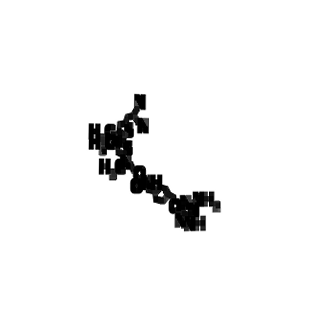 CN(CCOC(=O)NCc1ccc(COc2nc(N)nc3[nH]cnc23)cc1)c1cc2c(s1)-c1sc(C=C(C#N)C#N)cc1[Si]2(C)C